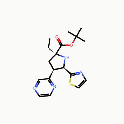 CC[C@@]1(C(=O)OC(C)(C)C)C[C@H](c2cnccn2)[C@H](c2nccs2)N1